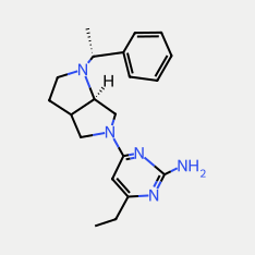 CCc1cc(N2CC3CCN([C@H](C)c4ccccc4)[C@H]3C2)nc(N)n1